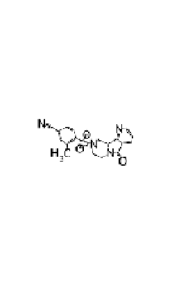 Cc1cc(C#N)ccc1S(=O)(=O)N1CCN2C(=O)c3cccnc3C2C1